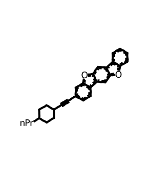 CCCC1CCC(C#Cc2ccc3c(c2)oc2cc4c(cc23)oc2ccccc24)CC1